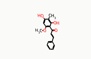 COc1cc(O)c(C)c(O)c1C(=O)C=Cc1ccccc1